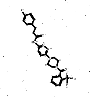 O=C(CCc1ccc(F)cc1)Nc1ccc(N2CCN(C(=O)c3ccccc3C(F)(F)F)CC2)nn1